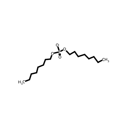 CCCCCCCCOP([O])(=O)OCCCCCCCC